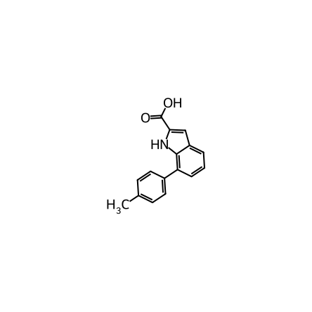 Cc1ccc(-c2cccc3cc(C(=O)O)[nH]c23)cc1